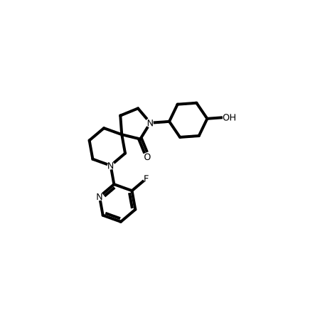 O=C1N(C2CCC(O)CC2)CCC12CCCN(c1ncccc1F)C2